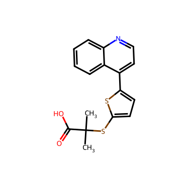 CC(C)(Sc1ccc(-c2ccnc3ccccc23)s1)C(=O)O